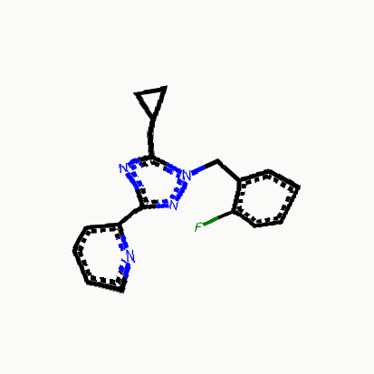 Fc1ccccc1Cn1nc(-c2ccccn2)nc1C1CC1